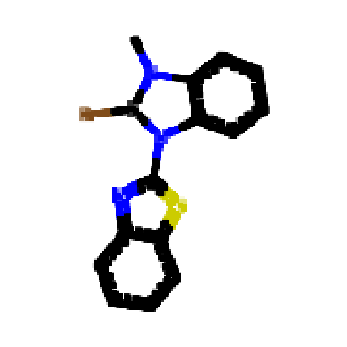 CN1B(Br)N(c2nc3ccccc3s2)c2ccccc21